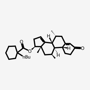 CCCCC1(C(=O)O[C@H]2CC=C3[C@H]4[C@H]([C@@H](C)C[C@@]32C)[C@H]2CCC(=O)C=C2C[C@H]4C)CCCCC1